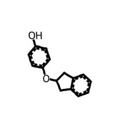 Oc1ccc(OC2Cc3ccccc3C2)cc1